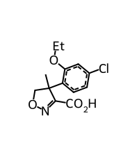 CCOc1cc(Cl)ccc1C1(C)CON=C1C(=O)O